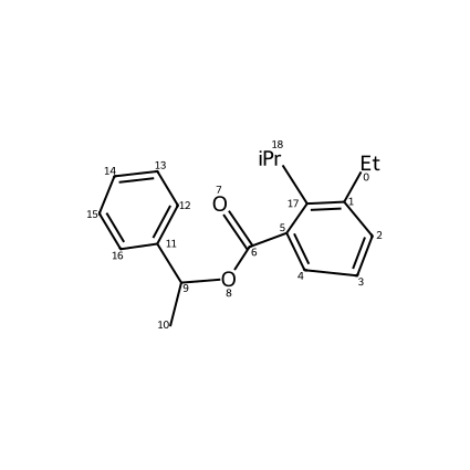 CCc1cccc(C(=O)OC(C)c2ccccc2)c1C(C)C